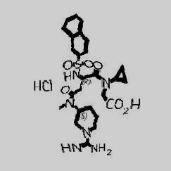 CN(C(=O)C[C@@H](NS(=O)(=O)c1ccc2ccccc2c1)C(=O)N(CC(=O)O)C1CC1)[C@H]1CCCN(C(=N)N)C1.Cl